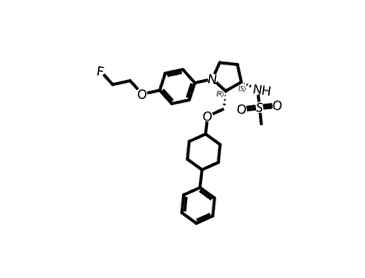 CS(=O)(=O)N[C@H]1CCN(c2ccc(OCCF)cc2)[C@H]1COC1CCC(c2ccccc2)CC1